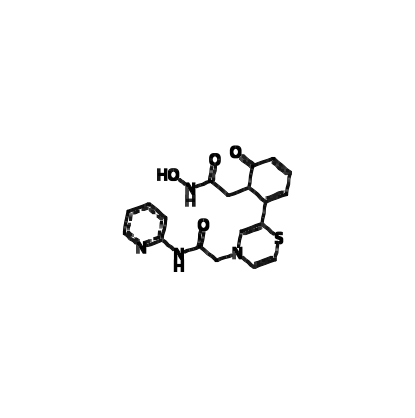 O=C(CC1C(=O)C=CC=C1C1=CN(CC(=O)Nc2ccccn2)C=CS1)NO